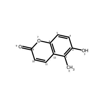 Cc1c(O)ccc2oc(=O)ccc12